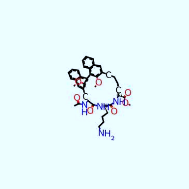 COC(=O)[C@@H]1CCCCc2cc3ccccc3c(c2OC)-c2c(OC)c(cc3ccccc23)CC(NC(C)=O)C(=O)N[C@H](CCCCN)C(=O)N1